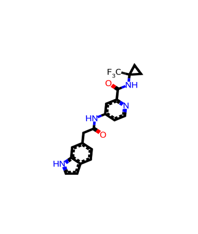 O=C(Cc1ccc2cc[nH]c2c1)Nc1ccnc(C(=O)NC2(C(F)(F)F)CC2)c1